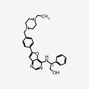 CCN1CCN(Cc2ccc(-c3cc4ncnc(N[C@H](CO)c5ccccc5)c4o3)cc2)CC1